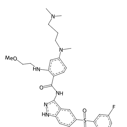 COCCNc1cc(N(C)CCCN(C)C)ccc1C(=O)Nc1n[nH]c2ccc(S(=O)(=O)c3cccc(F)c3)cc12